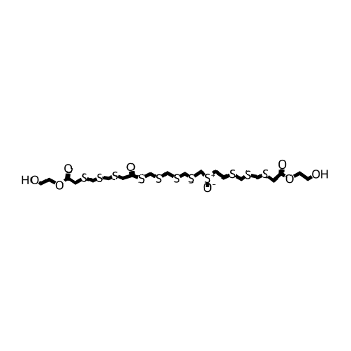 O=C(CSCSCSCC[S+]([O-])CSCSCSCSC(=O)CSCSCSCC(=O)OCCO)OCCO